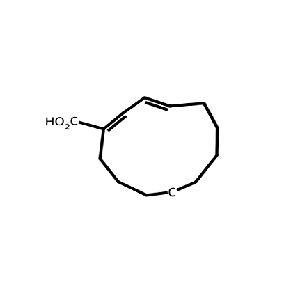 O=C(O)/C1=C/C=C/CCCCCCCC1